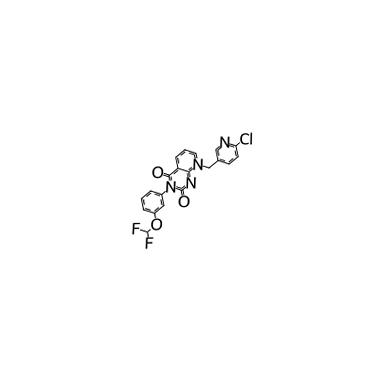 O=c1nc2n(Cc3ccc(Cl)nc3)cccc-2c(=O)n1-c1cccc(OC(F)F)c1